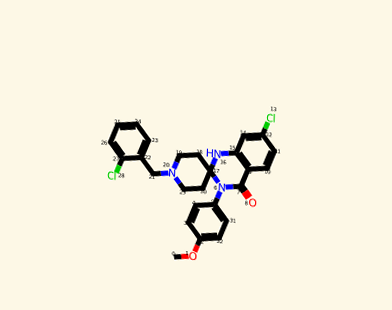 COc1ccc(N2C(=O)c3ccc(Cl)cc3NC23CCN(Cc2ccccc2Cl)CC3)cc1